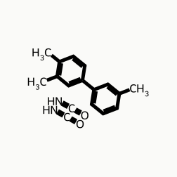 Cc1cccc(-c2ccc(C)c(C)c2)c1.N=C=O.N=C=O